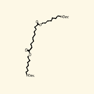 CCCCCCCCCCCCCCCCCOC(=O)CCCCCCCCC(=O)OCCCCCCCCCCCCCCCCC